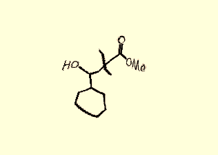 COC(=O)C(C)(C)C(O)C1CCCCC1